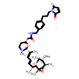 CO[C@H]([C@@H](C)[C@H]1O[C@]1(C)C[C@H](C)/C=C/C=C(\C)[C@H]1O[C@@H](CC(=O)NCc2ccc(CCCN3C(=O)C=CC3=O)cc2)CCN1C)[C@@H](C)O